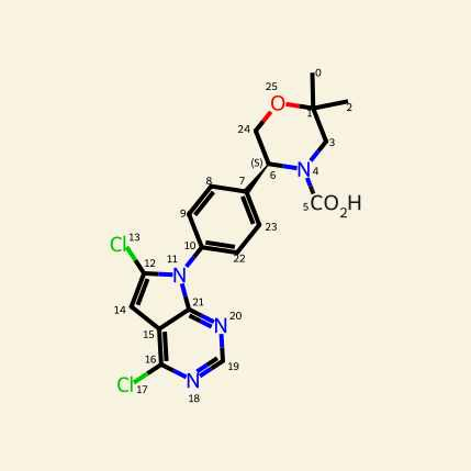 CC1(C)CN(C(=O)O)[C@@H](c2ccc(-n3c(Cl)cc4c(Cl)ncnc43)cc2)CO1